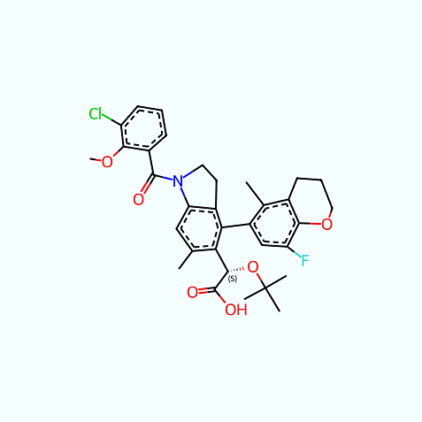 COc1c(Cl)cccc1C(=O)N1CCc2c1cc(C)c([C@H](OC(C)(C)C)C(=O)O)c2-c1cc(F)c2c(c1C)CCCO2